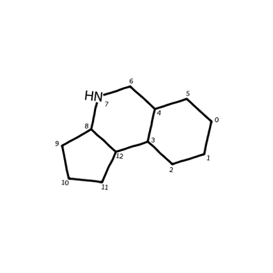 C1CCC2C(C1)CNC1CCCC12